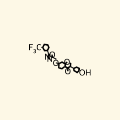 O=c1c(-c2ccc(O)cc2)coc2cc(OCc3nnc(-c4cccc(C(F)(F)F)c4)o3)ccc12